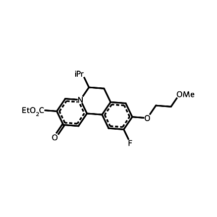 CCOC(=O)c1cn2c(cc1=O)-c1cc(F)c(OCCOC)cc1CC2C(C)C